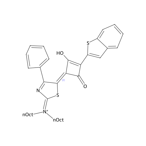 CCCCCCCC[N+](CCCCCCCC)=C1N=C(c2ccccc2)/C(=C2/C(=O)C(c3cc4ccccc4s3)=C2O)S1